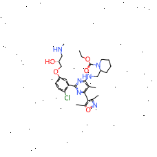 CCOC(=O)N1CCCCC1CNc1nc(-c2cc(OC[C@H](O)CNC)ccc2Cl)nc(-c2c(C)noc2C)c1C